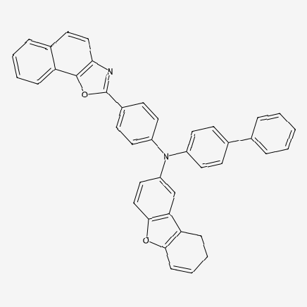 C1=Cc2oc3ccc(N(c4ccc(-c5ccccc5)cc4)c4ccc(-c5nc6ccc7ccccc7c6o5)cc4)cc3c2CC1